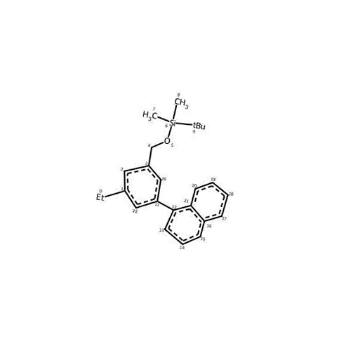 CCc1cc(CO[Si](C)(C)C(C)(C)C)cc(-c2cccc3ccccc23)c1